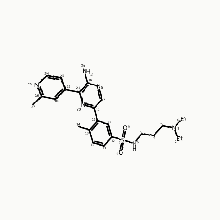 CCN(CC)CCCNS(=O)(=O)c1ccc(C)c(-c2cnc(N)c(-c3ccnc(C)c3)n2)c1